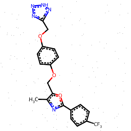 Cc1nc(-c2ccc(C(F)(F)F)cc2)oc1COc1ccc(OCc2nn[nH]n2)cc1